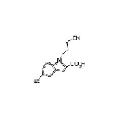 CCc1ccc2c(c1)cc(C(=O)O)n2CCCC#N